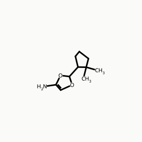 CC1(C)CCCC1C1OC=C(N)O1